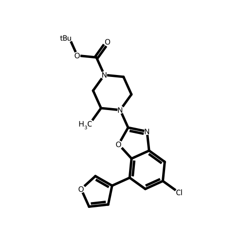 CC1CN(C(=O)OC(C)(C)C)CCN1c1nc2cc(Cl)cc(-c3ccoc3)c2o1